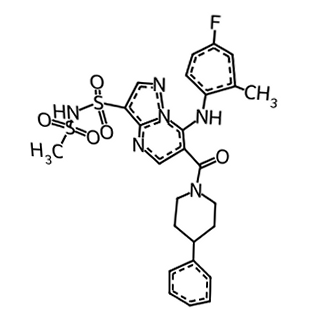 Cc1cc(F)ccc1Nc1c(C(=O)N2CCC(c3ccccc3)CC2)cnc2c(S(=O)(=O)NS(C)(=O)=O)cnn12